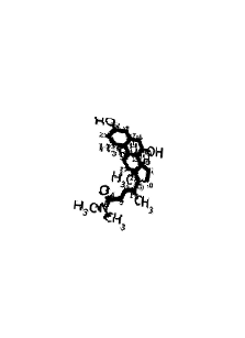 C[C@@H](CCC(=O)N(C)C)[C@@H]1CC[C@@H]2[C@H]3[C@H](O)CC4C[C@H](O)CC[C@@]4(C)[C@@H]3CC[C@]21C